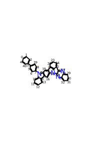 c1ccc(-c2ccc(-n3c4ccccc4c4cc5c(cc43)c3cccc4c6nc7ccccc7nc6n5c34)cc2)cc1